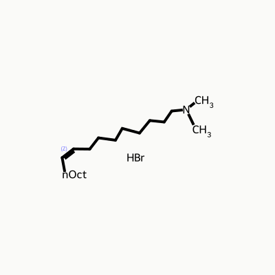 Br.CCCCCCCC/C=C\CCCCCCCCN(C)C